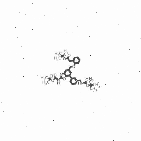 CC(C)(C)OC(=O)Cc1ccccc1OCc1cc(-c2cccc(CNC(=O)OC(C)(C)C)c2)c2oc(NC(=O)OC(C)(C)C)nc2c1